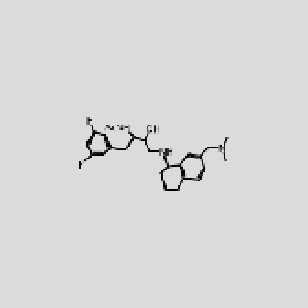 CC(=O)NC(Cc1cc(F)cc(F)c1)C(O)CNC1CCCc2ccc(CN(C)C)cc21